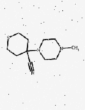 CN1CCN(C2(C#N)CCSCC2)CC1